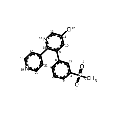 CS(=O)(=O)c1cccc(-c2cc(Cl)cnc2-c2ccncc2)c1